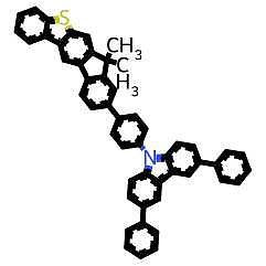 CC1(C)c2cc(-c3ccc(-n4c5ccc(-c6ccccc6)cc5c5cc(-c6ccccc6)ccc54)cc3)ccc2-c2cc3c(cc21)sc1ccccc13